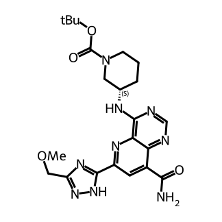 COCc1n[nH]c(-c2cc(C(N)=O)c3ncnc(N[C@H]4CCCN(C(=O)OC(C)(C)C)C4)c3n2)n1